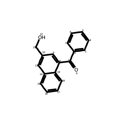 O=C(c1ccccc1)c1cc(CO)cc2ccccc12